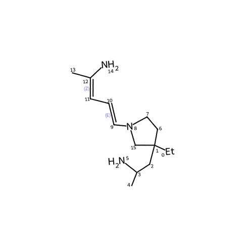 CCC1(CC(C)N)CCN(/C=C/C=C(/C)N)C1